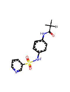 CCC(C)(C)C(=O)Nc1ccc(NS(=O)(=O)c2cccnc2)cc1